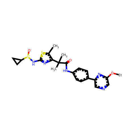 CCOc1cncc(-c2ccc(NC(=O)C(C)(C)c3nc(N[S+]([O-])C4CC4)sc3C)cc2)n1